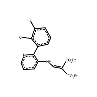 CCOC(=O)C(=CNc1cccnc1-c1cccc(Cl)c1Cl)C(=O)OCC